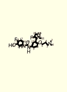 CN(C)CCCOc1ccc(NC(=O)Nc2ccc(F)c(O)c2)cc1-c1c(F)cnn1C